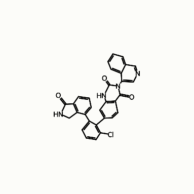 O=C1NCc2c1cccc2-c1cccc(Cl)c1-c1ccc2c(=O)n(-c3cncc4ccccc34)c(=O)[nH]c2c1